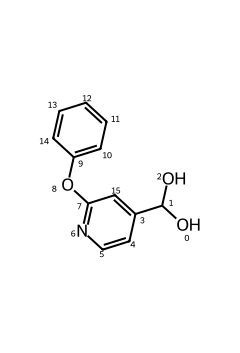 OC(O)c1ccnc(Oc2ccccc2)c1